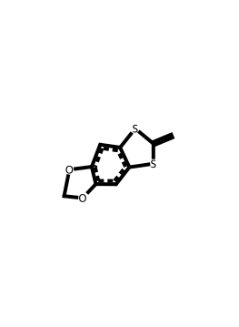 C=C1Sc2cc3c(cc2S1)OCO3